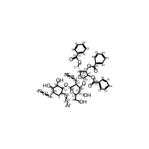 [N-]=[N+]=NC1C[C@@H](N=[N+]=[N-])C(O)[C@@H](O)[C@@H]1O[C@H]1OC(CO)[C@@H](O)[C@H](O[C@@H]2O[C@H](COC(=O)c3ccccc3)[C@@H](OC(=O)c3ccccc3)C2OC(=O)c2ccccc2)C1N=[N+]=[N-]